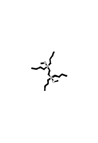 CCCC[Si](CCCC)(CC[Si](CCCC)(CCCC)OC)OC